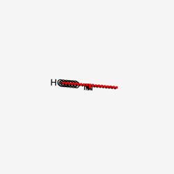 CCCCCCCCCCCCCCCCCCCCCCCCCCCOOOOOOOOOOOO.[N-]=[N+]=[N-]